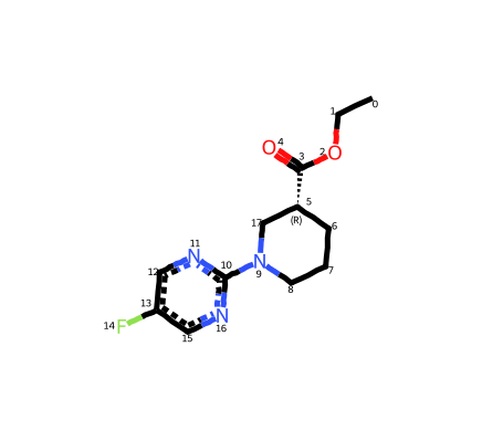 CCOC(=O)[C@@H]1CCCN(c2ncc(F)cn2)C1